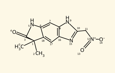 CC1(C)C(=O)Nc2cc3[nH]c(C[N+](=O)[O-])nc3cc21